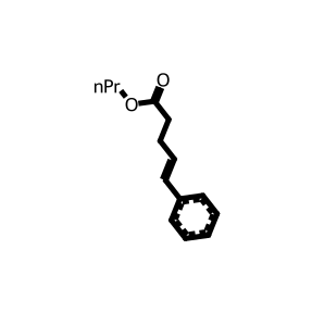 CCCOC(=O)CCC=Cc1ccccc1